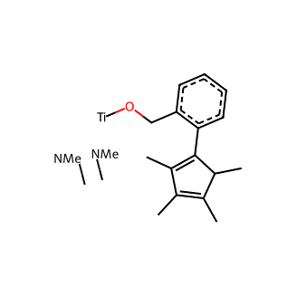 CC1=C(C)C(C)C(c2ccccc2C[O][Ti])=C1C.CNC.CNC